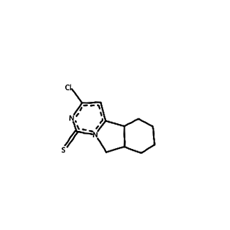 S=c1nc(Cl)cc2n1CC1CCCCC21